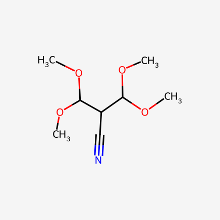 COC(OC)C(C#N)C(OC)OC